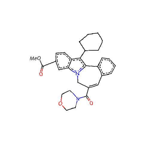 COC(=O)c1ccc2c(C3CCCCC3)c3n(c2c1)CC(C(=O)N1CCOCC1)=Cc1ccccc1-3